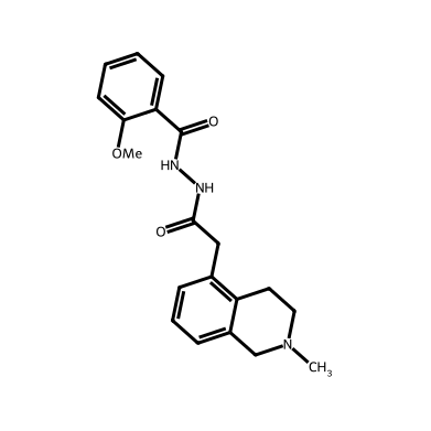 COc1ccccc1C(=O)NNC(=O)Cc1cccc2c1CCN(C)C2